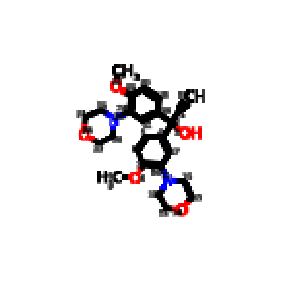 C#CC(O)(c1ccc(OC)c(N2CCOCC2)c1)c1ccc(OC)c(N2CCOCC2)c1